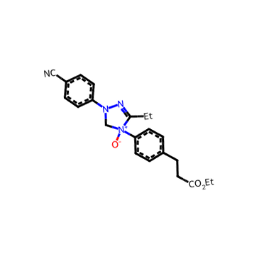 CCOC(=O)CCc1ccc([N+]2([O-])CN(c3ccc(C#N)cc3)N=C2CC)cc1